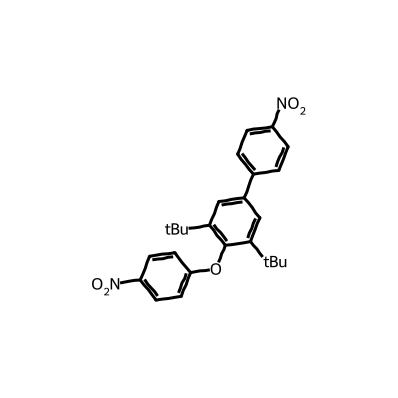 CC(C)(C)c1cc(-c2ccc([N+](=O)[O-])cc2)cc(C(C)(C)C)c1Oc1ccc([N+](=O)[O-])cc1